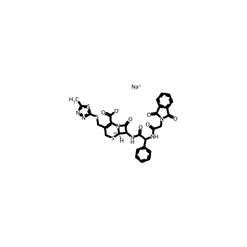 Cc1nnc(SCC2=C(C(=O)[O-])N3C(=O)C(NC(=O)C(NC(=O)CN4C(=O)c5ccccc5C4=O)c4ccccc4)[C@H]3SC2)s1.[Na+]